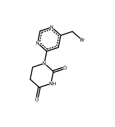 O=C1CCN(c2cc(CBr)ncn2)C(=O)N1